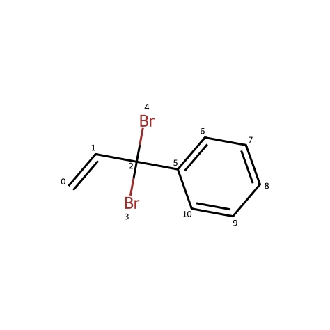 C=CC(Br)(Br)c1ccccc1